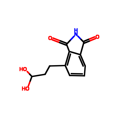 O=C1NC(=O)c2c(CCC(O)O)cccc21